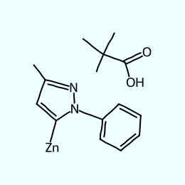 CC(C)(C)C(=O)O.Cc1c[c]([Zn])n(-c2ccccc2)n1